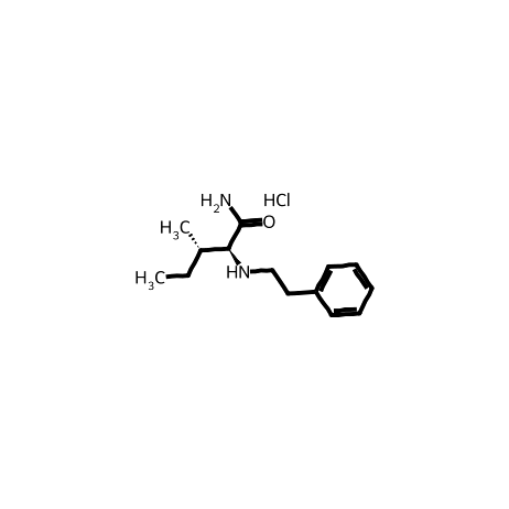 CC[C@H](C)[C@H](NCCc1ccccc1)C(N)=O.Cl